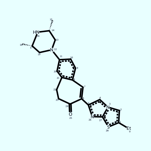 CCc1cn2cc(C3=Cc4ccc(N5C[C@@H](C)N[C@@H](C)C5)cc4CCC3=O)nc2s1